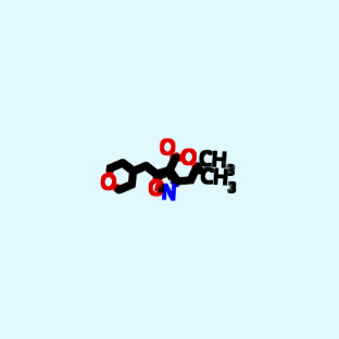 CC1(C)Cc2noc(CC3CCOCC3)c2C(=O)O1